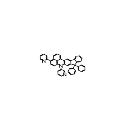 c1ccc(C2(c3ccccc3)c3ccccc3-c3cc4c(cc32)N(c2cccnc2)c2ccc(-c3ccccn3)c3cccc-4c23)cc1